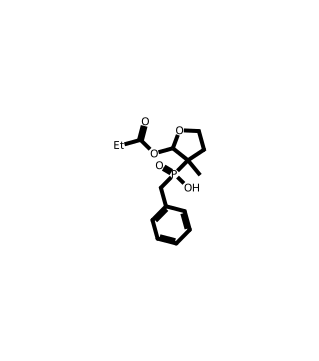 CCC(=O)OC1OCCC1(C)P(=O)(O)Cc1ccccc1